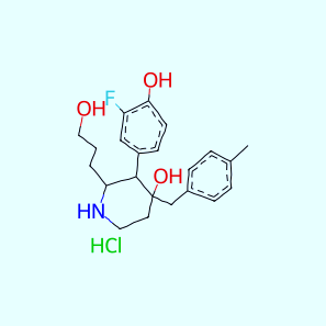 Cc1ccc(CC2(O)CCNC(CCCO)C2c2ccc(O)c(F)c2)cc1.Cl